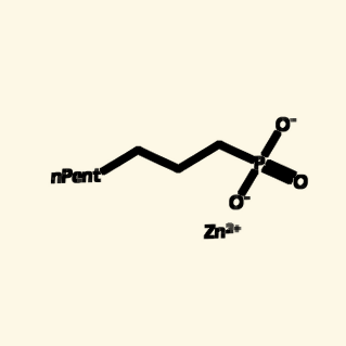 CCCCCCCCP(=O)([O-])[O-].[Zn+2]